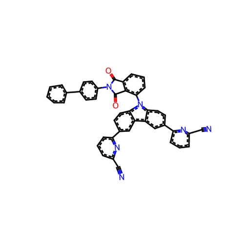 N#Cc1cccc(-c2ccc3c(c2)c2cc(-c4cccc(C#N)n4)ccc2n3-c2cccc3c2C(=O)N(c2ccc(-c4ccccc4)cc2)C3=O)n1